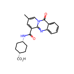 Cc1cc(C(=O)N[C@H]2CC[C@@H](C(=O)O)CC2)c2nc3ccccc3c(=O)n2c1